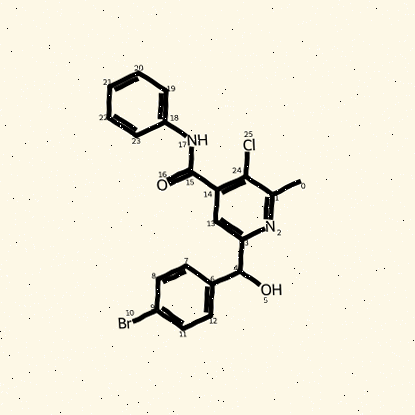 Cc1nc(C(O)c2ccc(Br)cc2)cc(C(=O)Nc2ccccc2)c1Cl